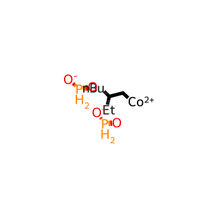 CCCCC(CC)[CH2][Co+2].O=[PH2][O-].O=[PH2][O-]